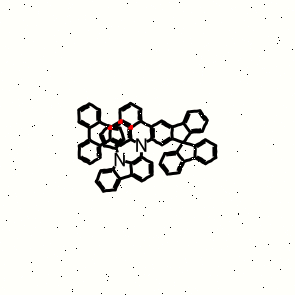 c1ccc(-c2cc3c(cc2N(c2ccc4c5ccccc5c5ccccc5c4c2)c2cccc4c5ccccc5n(-c5ccccc5)c24)C2(c4ccccc4-c4ccccc42)c2ccccc2-3)cc1